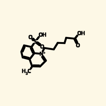 Cc1cc[n+](CCCCCC(=O)O)c2c(S(=O)(=O)O)cccc12